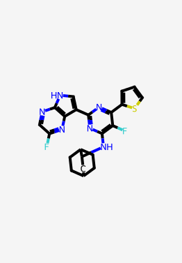 Fc1cnc2[nH]cc(-c3nc(NC4CC5CCC4CC5)c(F)c(-c4cccs4)n3)c2n1